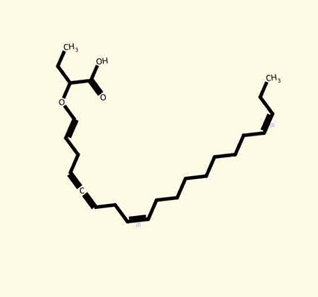 CC/C=C\CCCCCCC/C=C\CC=C=CCC=COC(CC)C(=O)O